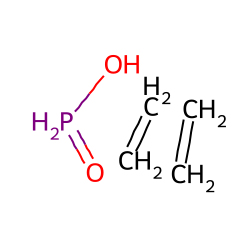 C=C.C=C.O=[PH2]O